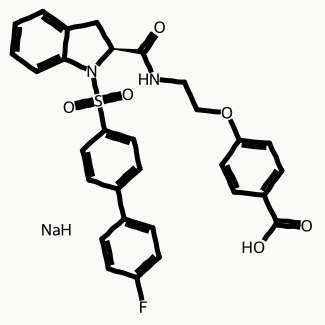 O=C(O)c1ccc(OCCNC(=O)[C@@H]2Cc3ccccc3N2S(=O)(=O)c2ccc(-c3ccc(F)cc3)cc2)cc1.[NaH]